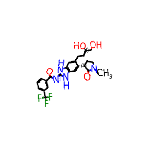 CN1CC[C@@H](c2cc3[nH]/c(=N/C(=O)c4cccc(C(F)(F)F)c4)[nH]c3cc2CC[C@@H](O)CO)C1=O